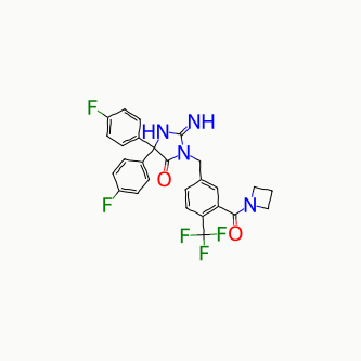 N=C1NC(c2ccc(F)cc2)(c2ccc(F)cc2)C(=O)N1Cc1ccc(C(F)(F)F)c(C(=O)N2CCC2)c1